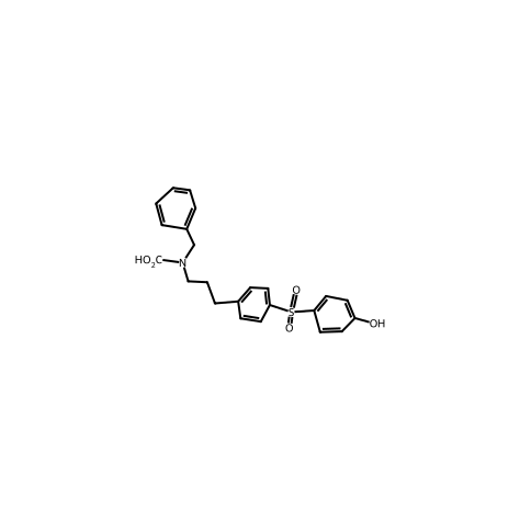 O=C(O)N(CCCc1ccc(S(=O)(=O)c2ccc(O)cc2)cc1)Cc1ccccc1